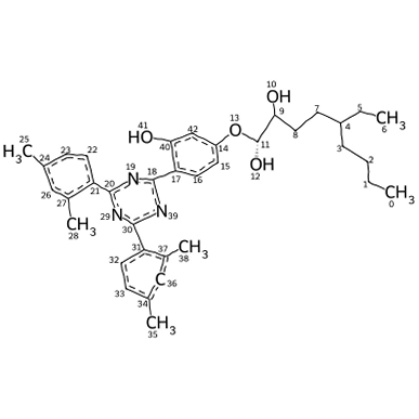 CCCCC(CC)CCC(O)[C@H](O)Oc1ccc(-c2nc(-c3ccc(C)cc3C)nc(-c3ccc(C)cc3C)n2)c(O)c1